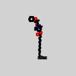 CCCCCCCCCCCCCCCCCCCCCC(=O)OC1CC(C)(C)N(OCC(C)(C)OC2CCCCC2)C(C)(C)C1